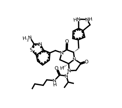 CCCCNC(=O)N(C(C)C)N1CC(=O)N2[C@@H](Cc3ccc4c(c3)CNN4)C(=O)N(Cc3cccc4sc(N)nc34)C[C@@H]21